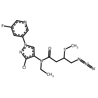 CCN(C(=O)CC(CN=[N+]=[N-])SC)c1cn(-c2cncc(F)c2)nc1Cl